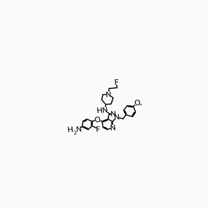 COc1ccc(Cn2nc(NC3CCN(CCF)CC3)c3c(Oc4ccc(N)cc4F)ccnc32)cc1